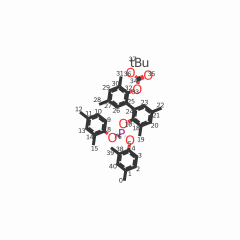 Cc1ccc(OP(Oc2ccc(C)cc2C)Oc2c(C)cc(C)cc2-c2cc(C)cc(C)c2OC(=O)OC(C)(C)C)c(C)c1